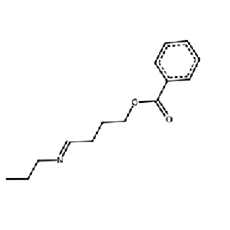 CCCN=CCCCOC(=O)c1ccccc1